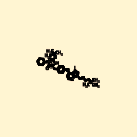 CC(C)(C)OC(=O)N[C@@H](Cc1ccc(Oc2ccnc3c2c(I)cn3COCCS(C)(C)C)cc1)C(=O)NC1CCCCC1